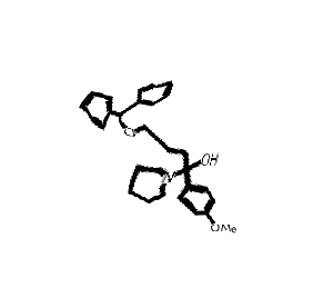 COc1ccc(C(O)(CCCOC(c2ccccc2)c2ccccc2)N2CCCCC2)cc1